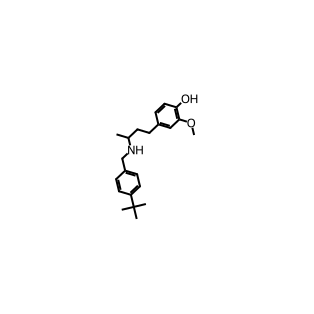 COc1cc(CCC(C)NCc2ccc(C(C)(C)C)cc2)ccc1O